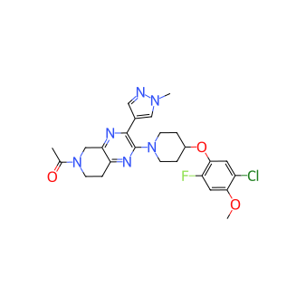 COc1cc(F)c(OC2CCN(c3nc4c(nc3-c3cnn(C)c3)CN(C(C)=O)CC4)CC2)cc1Cl